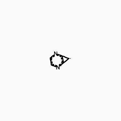 [CH]1c2nccnc21